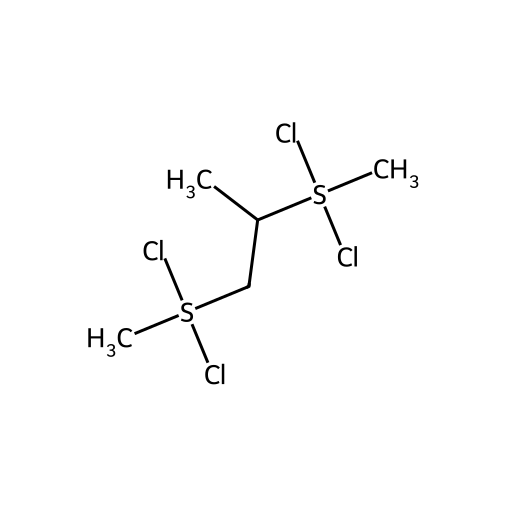 CC(CS(C)(Cl)Cl)S(C)(Cl)Cl